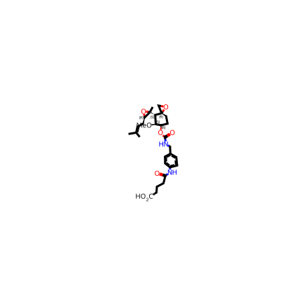 CO[C@H]1[C@H](C2(C)O[C@@H]2CC=C(C)C)[C@]2(CC[C@H]1OC(=O)NCc1ccc(NC(=O)CCCC(=O)O)cc1)CO2